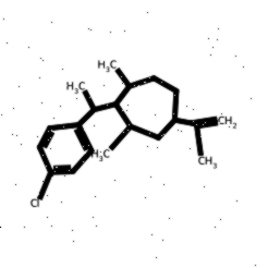 C=C(C)C1CCC(C)C(C(C)c2ccc(Cl)cc2)C(C)C1